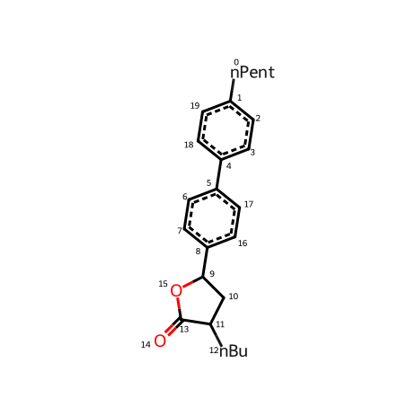 CCCCCc1ccc(-c2ccc(C3CC(CCCC)C(=O)O3)cc2)cc1